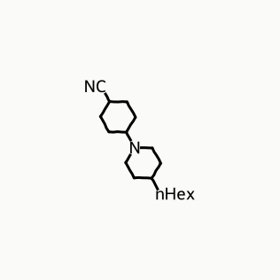 CCCCCCC1CCN(C2CCC(C#N)CC2)CC1